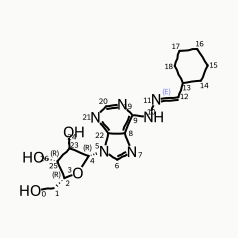 OC[C@H]1O[C@@H](n2cnc3c(N/N=C/C4CCCCC4)ncnc32)C(O)[C@H]1O